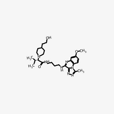 COc1ccc2c(c1)nc(NCCCCNC(=O)[C@H](C(C)C)N1CCC(CCO)CC1)c1nnc(C)n12